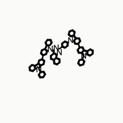 c1ccc(-n2c3ccccc3c3cc(-c4ccc5c6ccccc6n(-c6ccc(-c7nc(-n8c9ccccc9c9ccc(-c%10ccc%11c(c%10)c%10ccccc%10n%11-c%10ccccc%10)cc98)c8ccc9ccccc9c8n7)cc6)c5c4)ccc32)cc1